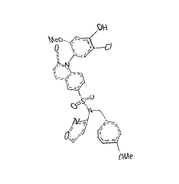 COc1ccc(CN(c2ccon2)S(=O)(=O)c2ccc3c(ccc(=O)n3-c3cc(Cl)c(O)cc3OC)c2)cc1